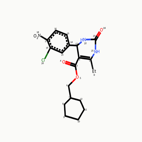 CCC1=C(C(=O)OCC2CCCCC2)C(c2ccc([N+](=O)[O-])c(Cl)c2)NC(=O)N1